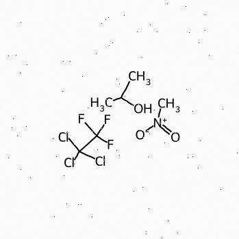 CC(C)O.C[N+](=O)[O-].FC(F)(F)C(Cl)(Cl)Cl